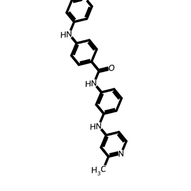 Cc1cc(Nc2cccc(NC(=O)c3ccc(Nc4ccncc4)cc3)c2)ccn1